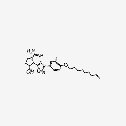 CCCCCCCCCOc1ccc(-c2noc(C3[C@@H](O)CCN3C(=N)N)n2)cc1C